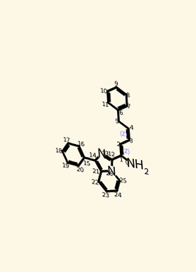 N/C(=C\C=C/Cc1ccccc1)c1nc(-c2ccccc2)c2ccccn12